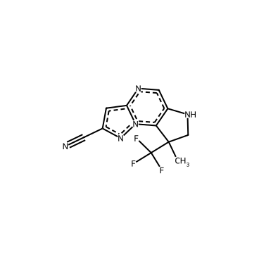 CC1(C(F)(F)F)CNc2cnc3cc(C#N)nn3c21